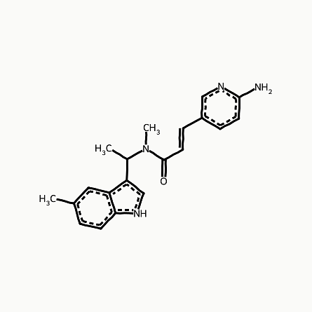 Cc1ccc2[nH]cc(C(C)N(C)C(=O)/C=C/c3ccc(N)nc3)c2c1